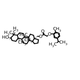 Cc1ccc(C(C)C)cc1OCC(=O)OC[C@]12CCCC1C1CCC3[C@@]4(C)CC[C@H](O)C(C)(C)C4CC[C@@]3(C)[C@]1(C)CC2